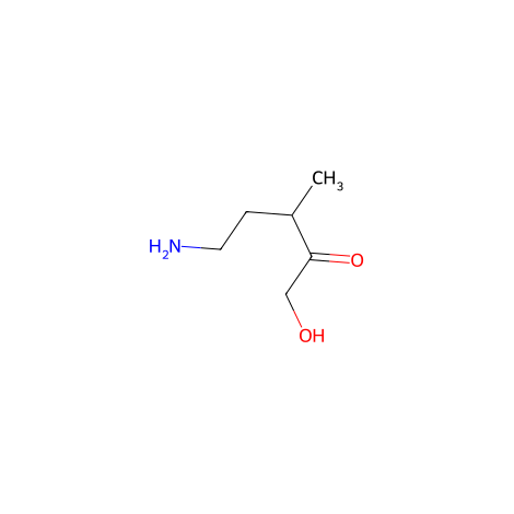 CC(CCN)C(=O)CO